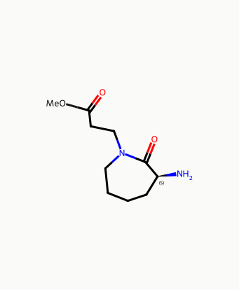 COC(=O)CCN1CCCC[C@H](N)C1=O